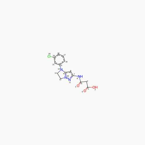 O=C(O)CC(=O)Nc1cc2n(n1)CCN2c1cccc(Cl)c1